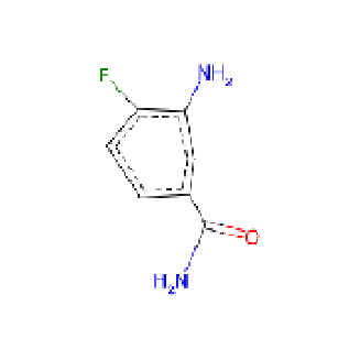 NC(=O)c1ccc(F)c(N)c1